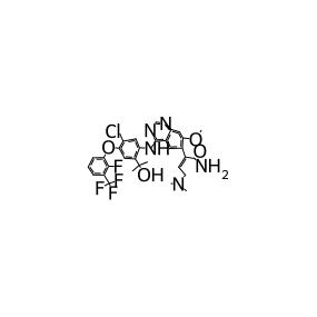 COc1cc2ncnc(Nc3cc(Cl)c(Oc4cccc(C(F)(F)F)c4F)cc3C(C)(C)O)c2cc1C(=CCN(C)C)C(N)=O